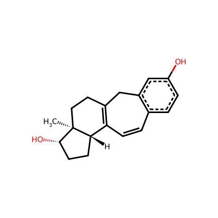 C[C@]12CCC3=C(C=Cc4ccc(O)cc4C3)[C@@H]1CC[C@@H]2O